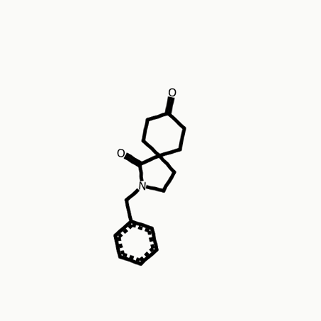 O=C1CCC2(CC1)CCN(Cc1ccccc1)C2=O